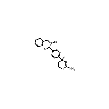 CCN(Cc1ccncc1)C(=O)c1ccc(C2(C)CCSC(N)=N2)cc1